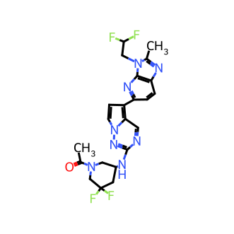 CC(=O)N1C[C@@H](Nc2ncc3c(-c4ccc5nc(C)n(CC(F)F)c5n4)ccn3n2)CC(F)(F)C1